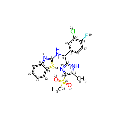 Cc1[nH]c(C(Nc2nc3ccccc3s2)c2ccc(F)c(Cl)c2)nc1S(C)(=O)=O